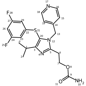 CC(C)c1nc(CCOC(N)=O)n(Cc2ccncc2)c1Sc1cc(F)cc(F)c1